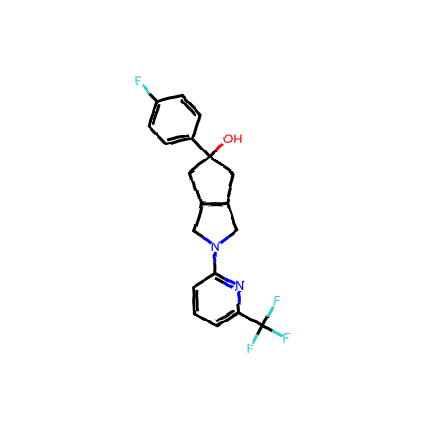 OC1(c2ccc(F)cc2)CC2CN(c3cccc(C(F)(F)F)n3)CC2C1